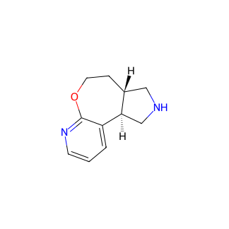 c1cnc2c(c1)[C@@H]1CNC[C@H]1CCO2